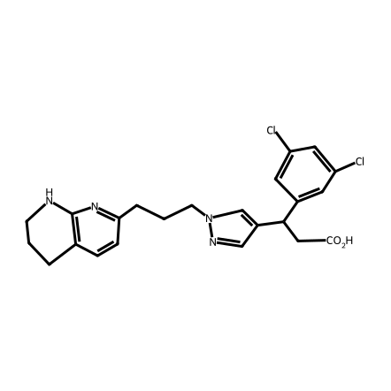 O=C(O)CC(c1cc(Cl)cc(Cl)c1)c1cnn(CCCc2ccc3c(n2)NCCC3)c1